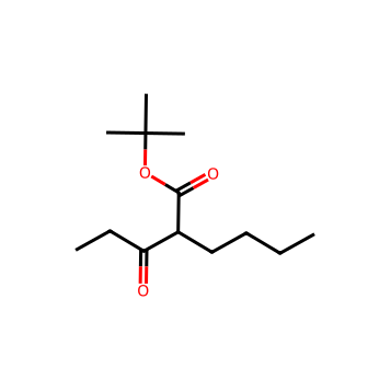 CCCCC(C(=O)CC)C(=O)OC(C)(C)C